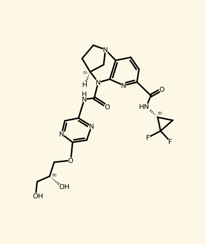 O=C(N[C@@H]1CC1(F)F)c1ccc2c(n1)N(C(=O)Nc1cnc(OC[C@H](O)CO)cn1)[C@H]1CCN2C1